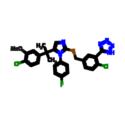 COc1cc(C(C)(C)c2cnc(SCc3ccc(Cl)c(-c4nnn[nH]4)c3)n2-c2ccc(F)cc2)ccc1Cl